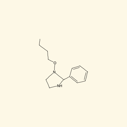 CCCCON1CCN[C]1c1ccccc1